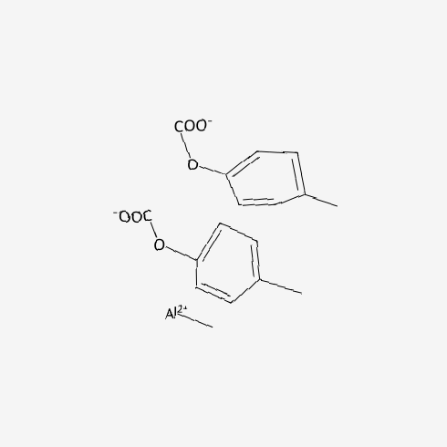 Cc1ccc(OC(=O)[O-])cc1.Cc1ccc(OC(=O)[O-])cc1.[CH3][Al+2]